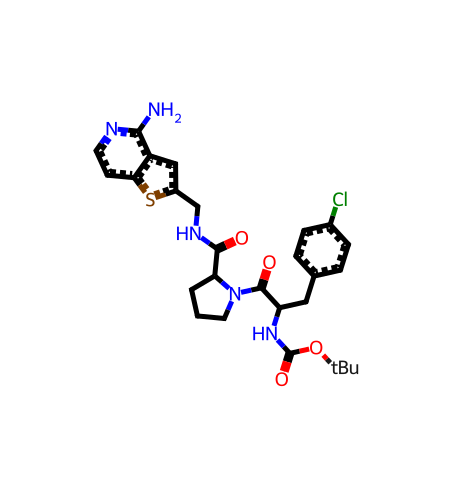 CC(C)(C)OC(=O)NC(Cc1ccc(Cl)cc1)C(=O)N1CCCC1C(=O)NCc1cc2c(N)nccc2s1